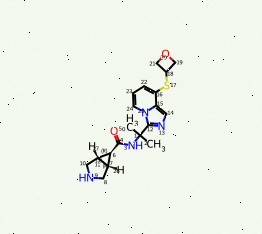 CC(C)(NC(=O)[C@H]1[C@@H]2CNC[C@@H]21)c1ncc2c(SC3COC3)cccn12